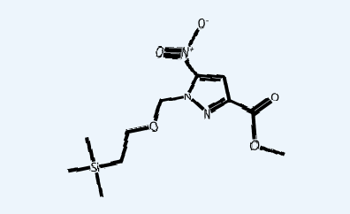 COC(=O)c1cc([N+](=O)[O-])n(COCC[Si](C)(C)C)n1